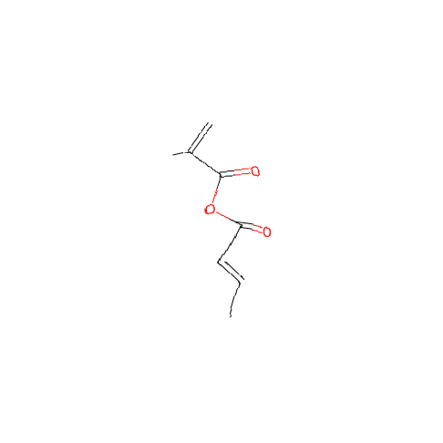 C=C(C)C(=O)OC(=O)C=CC